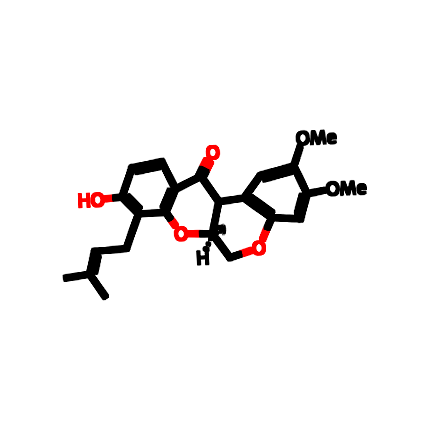 COc1cc2c(cc1OC)C1C(=O)c3ccc(O)c(CC=C(C)C)c3O[C@@H]1CO2